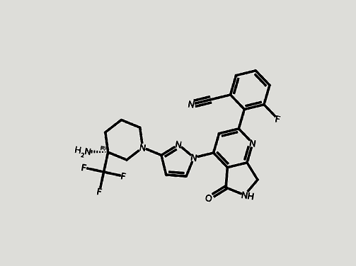 N#Cc1cccc(F)c1-c1cc(-n2ccc(N3CCC[C@](N)(C(F)(F)F)C3)n2)c2c(n1)CNC2=O